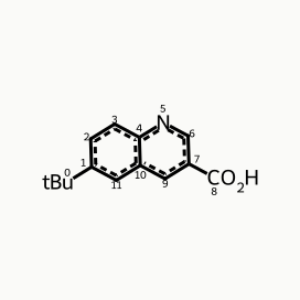 CC(C)(C)c1ccc2ncc(C(=O)O)cc2c1